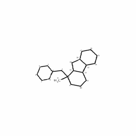 CC1(CC2CCCCC2)CCCC2C3CCCCC3CC21